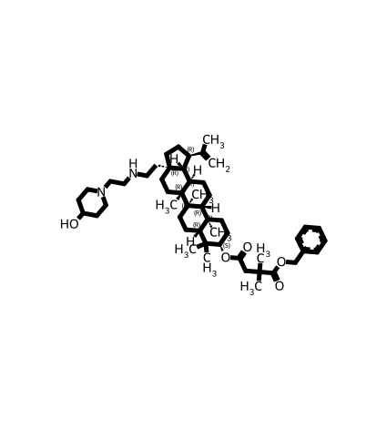 C=C(C)[C@@H]1CC[C@]2(CCNCCN3CCC(O)CC3)CC[C@]3(C)[C@H](CC[C@@H]4[C@@]5(C)CC[C@H](OC(=O)CC(C)(C)C(=O)OCc6ccccc6)C(C)(C)[C@@H]5CC[C@]43C)[C@@H]12